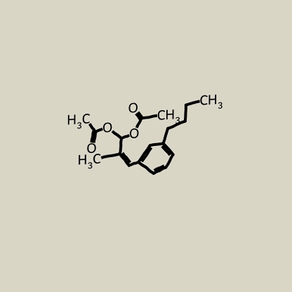 CCCCc1cccc(C=C(C)C(OC(C)=O)OC(C)=O)c1